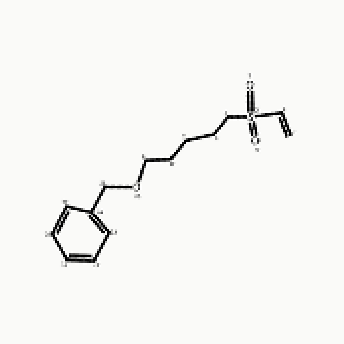 C=CS(=O)(=O)CCCCCOCc1ccccc1